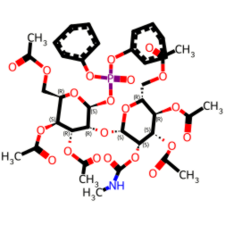 CNC(=O)O[C@@H]1[C@H](O[C@H]2[C@H](OP(=O)(Oc3ccccc3)Oc3ccccc3)O[C@H](COC(C)=O)[C@H](OC(C)=O)[C@H]2OC(C)=O)O[C@H](COC(C)=O)[C@@H](OC(C)=O)[C@@H]1OC(C)=O